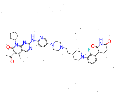 CC(=O)c1c(C)c2cnc(Nc3ccc(N4CCN(CCC5CCN(c6cccc(C7CCC(=O)NC7=O)c6F)CC5)CC4)cn3)nc2n(C2CCCC2)c1=O